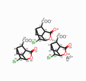 O=C([O-])C1C2CC3C(OC(=O)C31)C2Br.O=C([O-])C1C2CC3C(OC(=O)C31)C2Br.O=C([O-])C1C2CC3C(OC(=O)C31)C2Br.[Al+3]